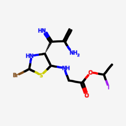 C=C(N)C(=N)[C@H]1NC(Br)SC1NCC(=O)OC(C)I